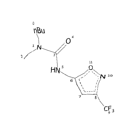 CCCCN(C)C(=O)Nc1cc(C(F)(F)F)no1